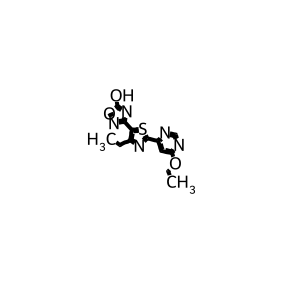 CCOc1cc(-c2nc(CC)c(-c3noc(O)n3)s2)ncn1